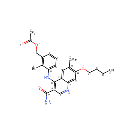 CCc1c(COC(=O)C(F)(F)F)cccc1Nc1c(C(N)=O)cnc2cc(OCCCC#N)c(OC)cc12